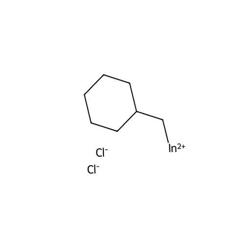 [Cl-].[Cl-].[In+2][CH2]C1CCCCC1